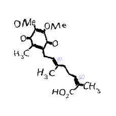 COC1=C(OC)C(=O)C(C/C=C(\C)CC/C=C(/C)C(=O)O)=C(C)C1=O